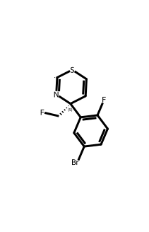 FC[C@@]1(c2cc(Br)ccc2F)C=CS[C]=N1